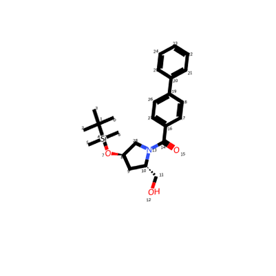 CC(C)(C)[Si](C)(C)O[C@@H]1C[C@@H](CO)N(C(=O)c2ccc(-c3ccccc3)cc2)C1